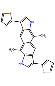 Cc1c2cc3c(-c4cccs4)c[nH]c3c(C)c2cc2c(-c3cccs3)c[nH]c12